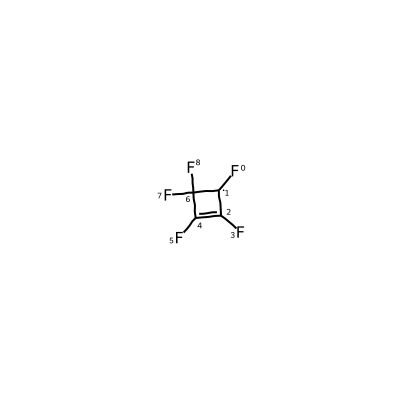 F[C]1C(F)=C(F)C1(F)F